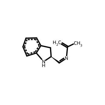 C=C(C)/N=C\[C@@H]1Cc2ccccc2N1